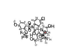 COc1ccc(S(=O)(=O)N2C(=O)C(c3cc(C(C)O)ccc3OC)(N3C[C@H](O)C[C@H]3C(=O)N(C)C)c3cc(Cl)ccc32)c(OC(F)(F)F)c1